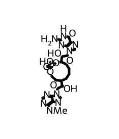 CNc1ncnc2c1ncn2C1OC2COP(=O)(O)OC3C(CCCC2C1O)OC(n1cnc2c(=O)[nH]c(N)nc21)C3O